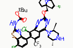 C[C@@H]1CN(c2nc(OC[C@@]34CCCN3C[C@H](F)C4)nc3c(Cl)c(-c4ccc(F)c5sc(NC(=O)OC(C)(C)C)nc45)c(C(F)(F)F)cc23)[C@@H](C)CN1